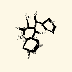 O=C(c1cccnc1)c1c(O)c(=O)[nH]c2cc(Cl)ccc2c1=O